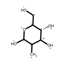 CC1C(O)OC(CO)[C@H](O)C1O